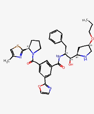 CCCO[C@H]1CN[C@@H]([C@@H](O)[C@H](Cc2ccccc2)NC(=O)c2cc(C(=O)N3CCC[C@@H]3c3nc(C)cs3)cc(-c3ncco3)c2)C1